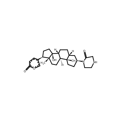 C[C@]12CC[C@H](N3CCNCC3=O)C[C@H]1CC[C@@H]1[C@@H]2CC[C@]2(C)[C@@H](c3ccc(=O)oc3)CC[C@]12O